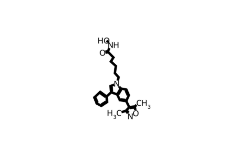 Cc1noc(C)c1-c1ccc2c(c1)c(-c1ccccc1)cn2CCCCCC(=O)NO